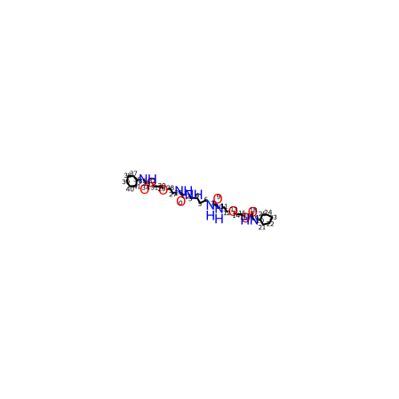 O=C(NCCCCNC(=O)NCCOCCOC(=O)NC1CCCCC1)NCCOCCOC(=O)NC1CCCCC1